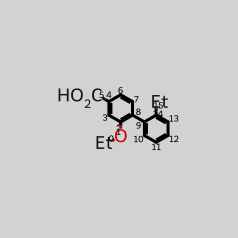 CCOc1cc(C(=O)O)ccc1-c1ccccc1CC